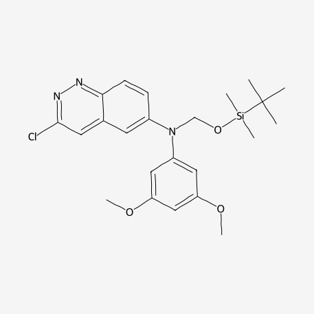 COc1cc(OC)cc(N(CO[Si](C)(C)C(C)(C)C)c2ccc3nnc(Cl)cc3c2)c1